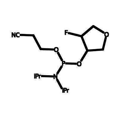 CC(C)N(C(C)C)P(OCCC#N)OC1COCC1F